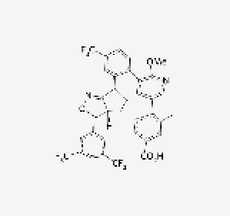 COc1ncc(-c2ccc(C(=O)O)cc2C)cc1-c1ccc(C(F)(F)F)cc1[C@H]1CC[C@H]2C1=NO[C@H]2c1cc(C(F)(F)F)cc(C(F)(F)F)c1